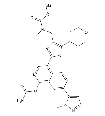 CN(Cc1nc(-c2cnc(OC(N)=O)c3cc(-c4ccnn4C)ccc23)sc1C1CCOCC1)C(=O)OC(C)(C)C